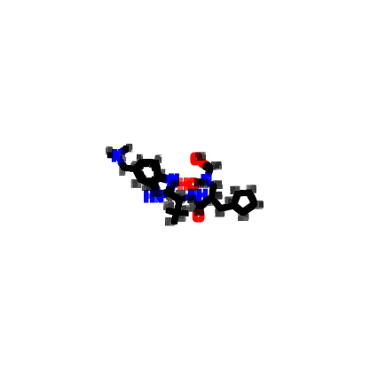 CN(C)Cc1ccc2nc([C@@H](NC(=O)[C@H](CC3CCCC3)CN(O)C=O)C(C)(C)C)[nH]c2c1